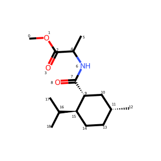 COC(=O)C(C)NC(=O)[C@@H]1C[C@H](C)CC[C@H]1C(C)C